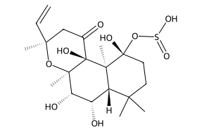 C=C[C@@]1(C)CC(=O)[C@]2(O)[C@]3(C)[C@@H]([C@H](O)[C@H](O)[C@@]2(C)O1)C(C)(C)CC[C@@]3(O)OS(=O)O